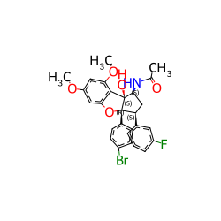 COc1cc(OC)c2c(c1)O[C@@]1(c3ccc(Br)cc3)[C@H](c3cccc(F)c3)C[C@H](NC(C)=O)[C@@]21O